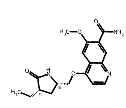 CC[C@H]1C[C@@H](COc2ccnc3cc(C(N)=O)c(OC)cc23)NC1=O